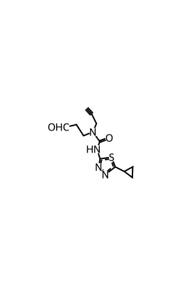 C#CCN(CCC=O)C(=O)Nc1nnc(C2CC2)s1